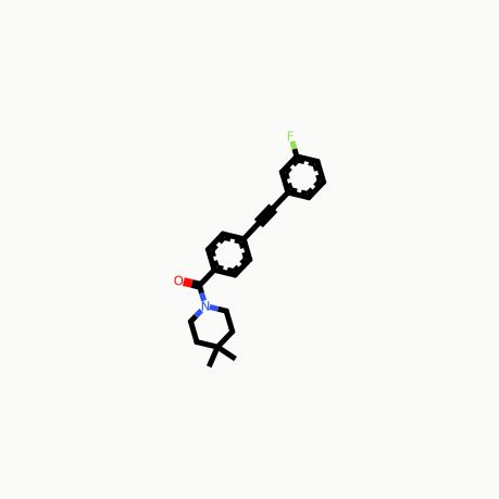 CC1(C)CCN(C(=O)c2ccc(C#Cc3cccc(F)c3)cc2)CC1